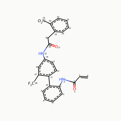 C=CC(=O)Nc1ccccc1-c1ccc(NC(=O)Cc2ccccc2[N+](=O)[O-])cc1C(F)(F)F